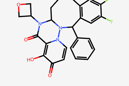 O=C1c2c(O)c(=O)ccn2N2C(c3ccccc3)c3cc(F)c(F)cc3CCCC2N1C1COC1